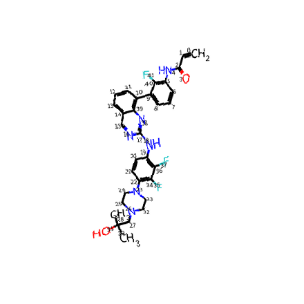 C=CC(=O)Nc1cccc(-c2cccc3cnc(Nc4ccc(N5CCN(CC(C)(C)O)CC5)c(F)c4F)nc23)c1F